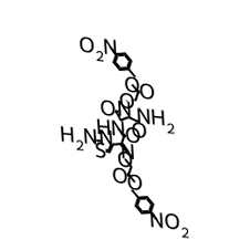 NC(=O)C1C(NC(=O)C(=NOCC(=O)OCc2ccc([N+](=O)[O-])cc2)c2csc(N)n2)C(=O)N1OCC(=O)OCc1ccc([N+](=O)[O-])cc1